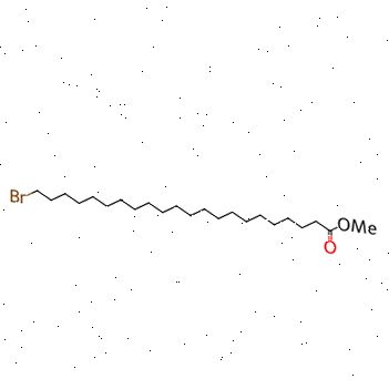 COC(=O)CCCCCCCCCCCCCCCCCCCCCBr